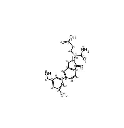 NC(=O)[C@H](CCC(=O)O)N1Cc2cc(-c3cc(CO)cc(N)n3)ccc2C1=O